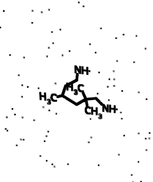 CC(CC[NH])CC(C)(C)C[NH]